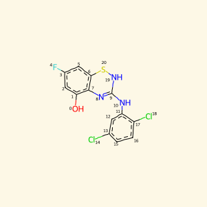 Oc1cc(F)cc2c1N=C(Nc1cc(Cl)ccc1Cl)NS2